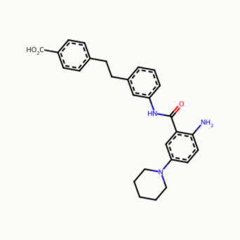 Nc1ccc(N2CCCCC2)cc1C(=O)Nc1cccc(CCc2ccc(C(=O)O)cc2)c1